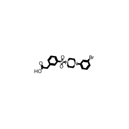 O=C(O)Cc1cccc(S(=O)(=O)N2CCN(c3cccc(Br)c3)CC2)c1